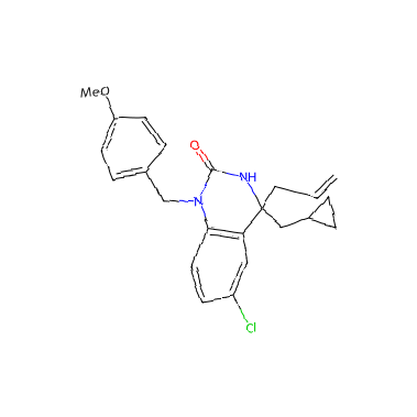 C=CCC1(CC2CC2)NC(=O)N(Cc2ccc(OC)cc2)c2ccc(Cl)cc21